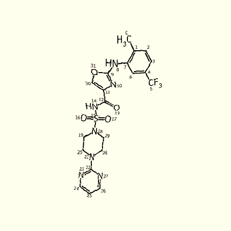 Cc1ccc(C(F)(F)F)cc1Nc1nc(C(=O)NS(=O)(=O)N2CCN(c3ncccn3)CC2)co1